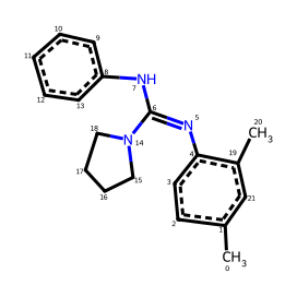 Cc1ccc(N=C(Nc2ccccc2)N2CCCC2)c(C)c1